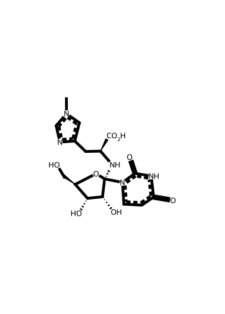 Cn1cnc(C[C@H](N[C@@]2(n3ccc(=O)[nH]c3=O)O[C@H](CO)[C@@H](O)[C@H]2O)C(=O)O)c1